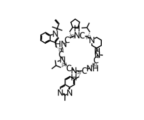 C=CC(C)(C)n1cc(C[C@H]2CN(C)[C@@H](CC(C)C)CN[C@@H](Cc3ccc4cnc(C)nc4c3)CN[C@@H](C)CN(C)[C@H]3CCCN(C3)[C@@H](CC(C)C)CN[C@@H](CC3CCCC3)CN2)c2ccccc21